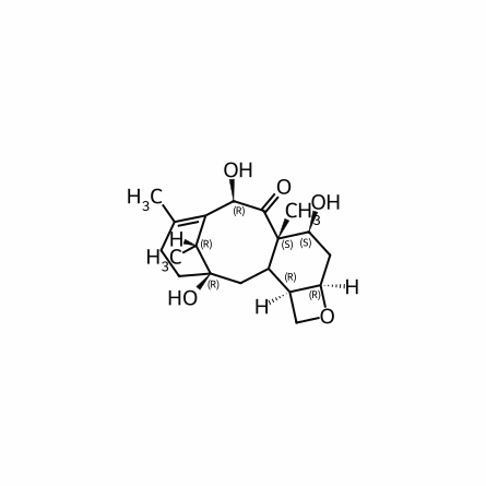 CC1=C2[C@@H](O)C(=O)[C@@]3(C)C(C[C@](O)(CC1)[C@@H]2C)[C@@H]1CO[C@@H]1C[C@@H]3O